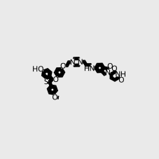 COc1ccc(-c2sc3cc(O)ccc3c2Oc2ccc(OCCN3CCN(CCCNc4ccc5c(c4)CN(C4CCC(=O)NC4=O)C5=O)CC3)cc2)cc1